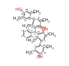 Cc1cc(-c2cc(C)c(O)c(C(c3ccccc3)c3c(C)c(-c4cc(C)c(O)cc4C)cc(C)c3O)c2C)c(C)cc1O